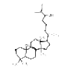 C[C@H](CCCC(O)C(F)F)C1CCC2(C)C3=C(CCC12C)C1(C)CCCC(C)(C)C1CC3